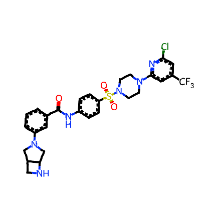 O=C(Nc1ccc(S(=O)(=O)N2CCN(c3cc(C(F)(F)F)cc(Cl)n3)CC2)cc1)c1cccc(N2CC3CNC3C2)c1